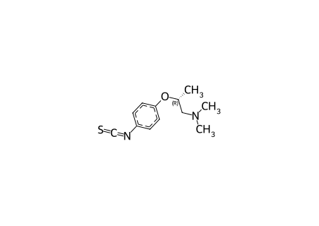 C[C@H](CN(C)C)Oc1ccc(N=C=S)cc1